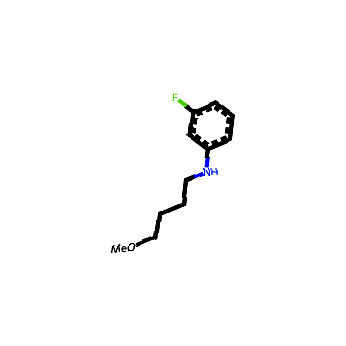 COCCCCNc1[c]c(F)ccc1